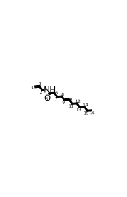 C=CCNC(=O)CCCC=CCCCCCC